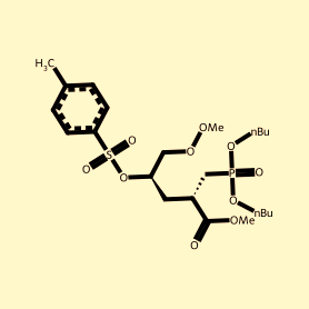 CCCCOP(=O)(C[C@@H](C[C@H](COOC)OS(=O)(=O)c1ccc(C)cc1)C(=O)OC)OCCCC